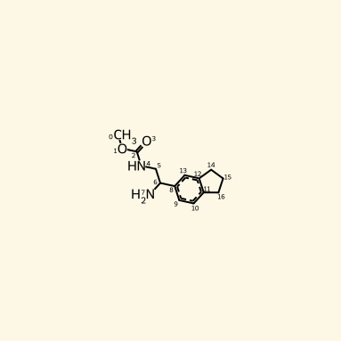 COC(=O)NCC(N)c1ccc2c(c1)CCC2